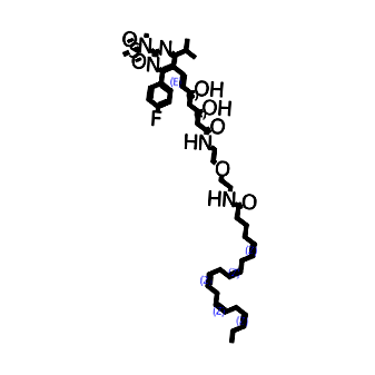 CC/C=C\C/C=C\C/C=C\C/C=C\C/C=C\CCCC(=O)NCCOCCNC(=O)C[C@H](O)C[C@H](O)/C=C/c1c(-c2ccc(F)cc2)nc(N(C)S(C)(=O)=O)nc1C(C)C